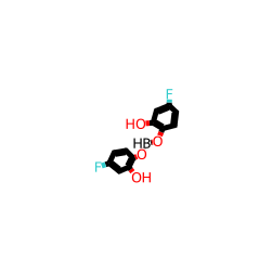 Oc1cc(F)ccc1OBOc1ccc(F)cc1O